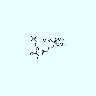 CO[Si](CCCSCC(C)C(=O)OCC[N+](C)(C)C)(OC)OC